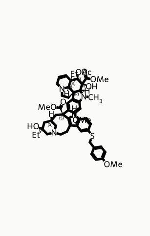 CC[C@]1(O)C[C@H]2CN(CCc3c([nH]c4ccc(SCc5ccc(OC)cc5)cc34)[C@@](C(=O)OC)(c3cc4c(cc3OC)N(C)[C@H]3[C@@](O)(C(=O)OC)[C@H](OC(C)=O)[C@]5(CC)C=CCN6CC[C@]43[C@@H]65)C2)C1